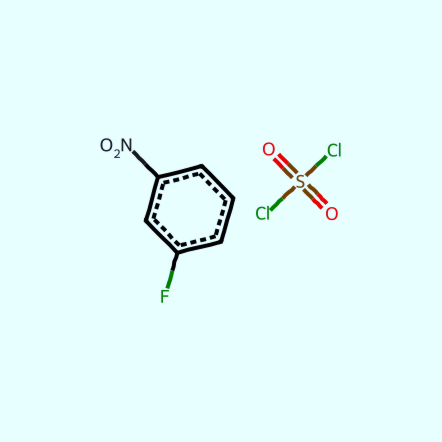 O=S(=O)(Cl)Cl.O=[N+]([O-])c1cccc(F)c1